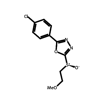 COCC[S@+]([O-])c1nnc(-c2ccc(Cl)cc2)o1